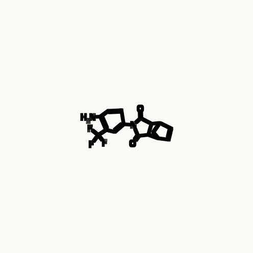 Nc1ccc(N2C(=O)C3C4C=CC(C4)C3C2=O)cc1C(F)(F)F